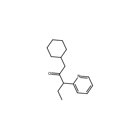 CCC(C(=O)CC1CCCCC1)c1ccccn1